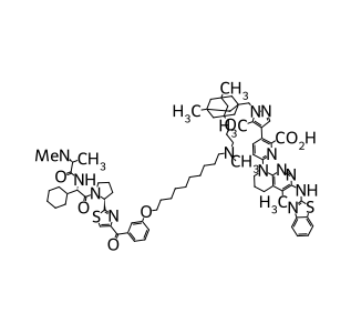 CN[C@@H](C)C(=O)N[C@H](C(=O)N1CCC[C@H]1c1nc(C(=O)c2cccc(OCCCCCCCCCCN(C)CCOC34CC5(C)CC(C)(CC(Cn6ncc(-c7ccc(N8CCCc9c8nnc(Nc8nc%10ccccc%10s8)c9C)nc7C(=O)O)c6C)(C5)C3)C4)c2)cs1)C1CCCCC1